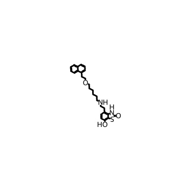 O=c1[nH]c2c(CCNCCCCCCOCCc3cccc4ccccc34)ccc(O)c2s1